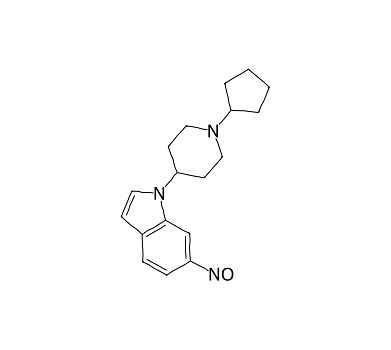 O=Nc1ccc2ccn(C3CCN(C4CCCC4)CC3)c2c1